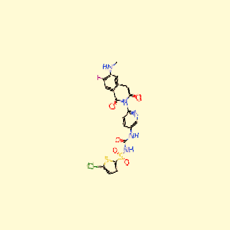 CNc1cc2c(cc1I)C(=O)N(c1ccc(NC(=O)NS(=O)(=O)c3ccc(Cl)s3)cn1)C(=O)C2